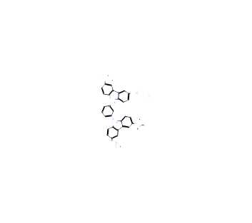 CCC[SiH2]c1ccc2c(c1)c1cc(C#N)ccc1n2-c1cccc(-n2c3ccc(C#N)cc3c3cc([Si](C)(C)C)ccc32)c1